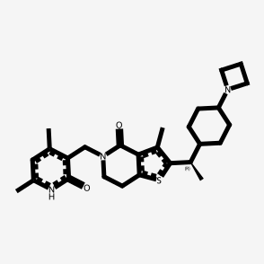 Cc1cc(C)c(CN2CCc3sc([C@H](C)C4CCC(N5CCC5)CC4)c(C)c3C2=O)c(=O)[nH]1